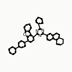 C1=Cc2c(ccc3cc(-c4nc(-c5ccccc5)nc(-c5ccc(-c6ccc(-c7ccccc7)cc6)c6oc7ccccc7c56)n4)ccc23)CC1